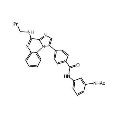 CC(=O)Nc1cccc(NC(=O)c2ccc(-c3cnc4c(NCC(C)C)nc5ccccc5n34)cc2)c1